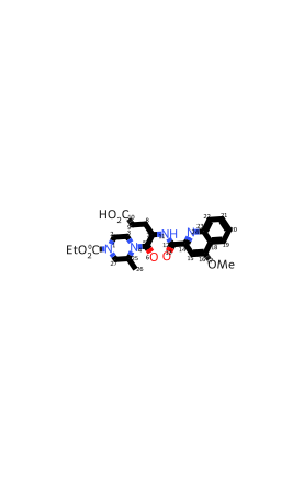 CCOC(=O)N1CCN(C(=O)C(CCC(=O)O)NC(=O)c2cc(OC)c3ccccc3n2)C(C)C1